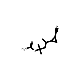 CC(CC(C)(C)OC(N)=O)C1CC1C#N